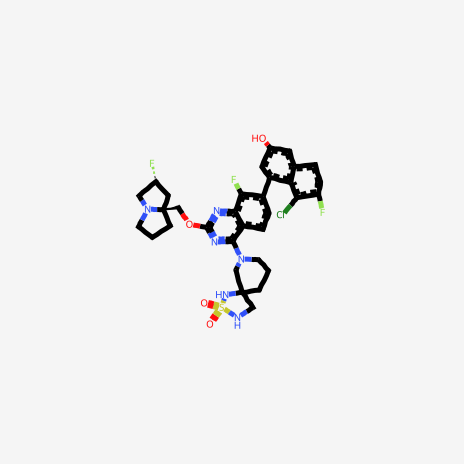 O=S1(=O)NCC2(CCCN(c3nc(OC[C@@]45CCCN4C[C@H](F)C5)nc4c(F)c(-c5cc(O)cc6ccc(F)c(Cl)c56)ccc34)C2)N1